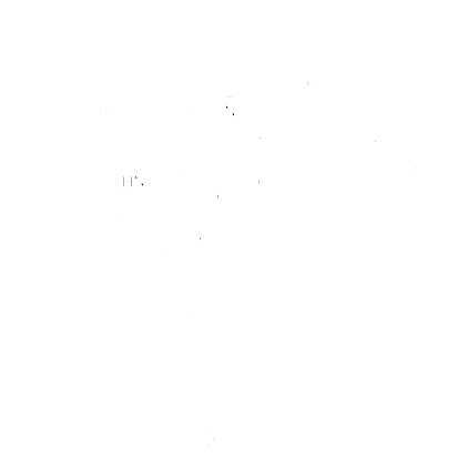 CC(C)C[C@H](NC(=O)c1cc(=O)c2ccccc2o1)C(=O)N[C@@H](Cc1ccccc1)C(=O)CSCc1ccco1